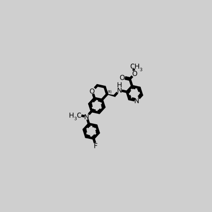 COC(=O)c1ccncc1NC[C@@H]1CCOc2cc(N(C)c3ccc(F)cc3)ccc21